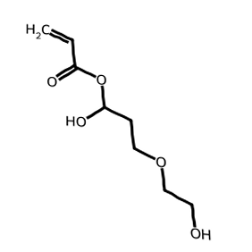 C=CC(=O)OC(O)CCOCCO